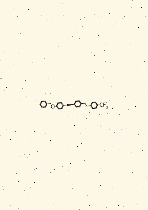 FC(F)(F)c1ccc([CH]Cc2ccc(C#Cc3ccc(OCc4ccccc4)cc3)cc2)cc1